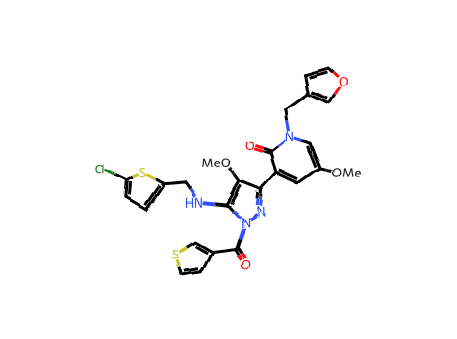 COc1cc(-c2nn(C(=O)c3ccsc3)c(NCc3ccc(Cl)s3)c2OC)c(=O)n(Cc2ccoc2)c1